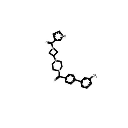 O=C(c1ccc(-c2cccc(C(F)(F)F)c2)cc1)N1CCN(C2CN(C(=O)c3cc[nH]c3)C2)CC1